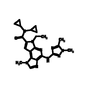 CCn1c(C(=O)N(C2CC2)C2CC2)cc2c3c(ncn3C)c(Nc3nc(C)n(C)n3)nc21